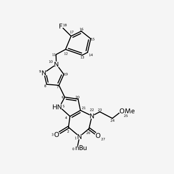 CCCCn1c(=O)c2[nH]c(-c3cnn(Cc4ccccc4F)c3)cc2n(CCOC)c1=O